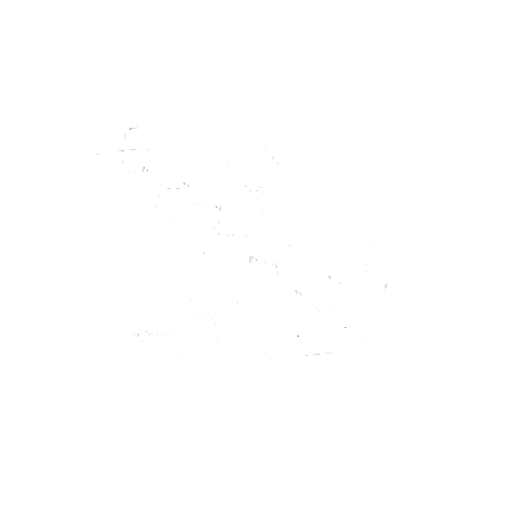 CC1(O)CN(c2nc3nc([C@H](Cc4cc(F)cc(F)c4)NC(=O)Cn4nc(C(F)F)c5c4C(F)(F)CCC5(F)F)c(-c4ccc(F)c(C(N)=O)c4)cc3s2)C1